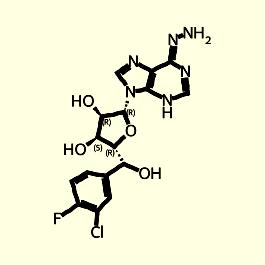 NN=c1nc[nH]c2c1ncn2[C@@H]1O[C@H](C(O)c2ccc(F)c(Cl)c2)[C@@H](O)[C@H]1O